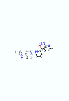 CNC1CCN(c2cccc(C(=O)c3cccnc3N)n2)CC1